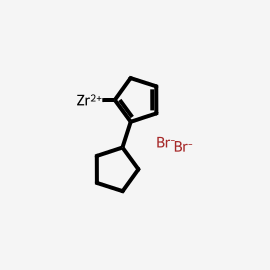 [Br-].[Br-].[Zr+2][C]1=C(C2CCCC2)C=CC1